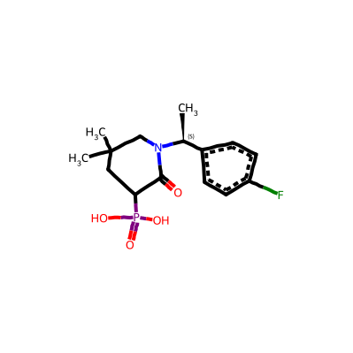 C[C@@H](c1ccc(F)cc1)N1CC(C)(C)CC(P(=O)(O)O)C1=O